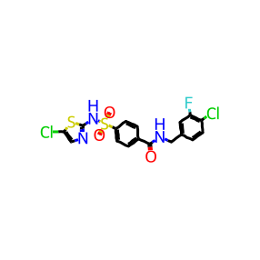 O=C(NCc1ccc(Cl)c(F)c1)c1ccc(S(=O)(=O)Nc2ncc(Cl)s2)cc1